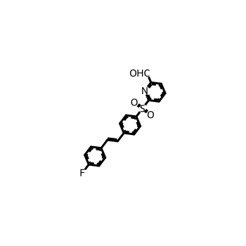 O=Cc1cccc(S(=O)(=O)c2ccc(C=Cc3ccc(F)cc3)cc2)n1